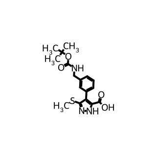 CSc1n[nH]c(C(=O)O)c1-c1cccc(CNC(=O)OC(C)(C)C)c1